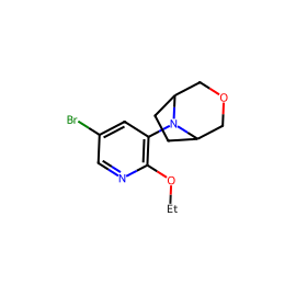 CCOc1ncc(Br)cc1N1C2CCC1COC2